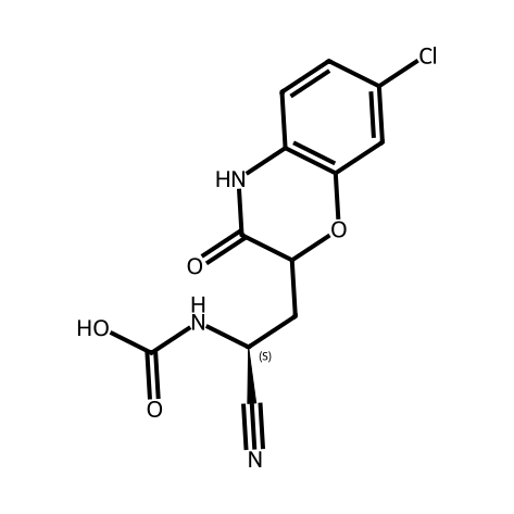 N#C[C@H](CC1Oc2cc(Cl)ccc2NC1=O)NC(=O)O